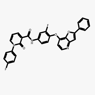 O=C(Nc1ccc(Oc2ccnc3cc(-c4ccccc4)oc23)c(F)c1)c1cccn(-c2ccc(F)cc2)c1=O